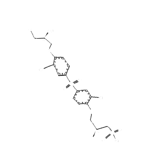 CCS(=O)(=O)C[C@@H](C)COc1ccc(S(=O)(=O)c2ccc(OC[C@@H](CCl)OC(C)=O)c(Cl)c2)cc1Cl